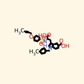 CC#CCOc1ccc(S(=O)(=O)NC(Cc2cn(Cc3ccc(C)cc3)c3ccc(C(=O)O)cc23)C(=O)O)cc1